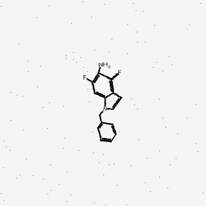 Nc1c(F)cc2c(ccn2Cc2ccccc2)c1F